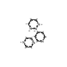 c1ccncc1.c1cnccn1.c1cnnnc1